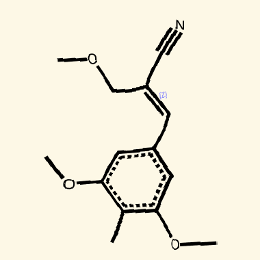 COC/C(C#N)=C\c1cc(OC)c(C)c(OC)c1